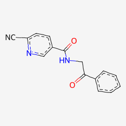 N#Cc1ccc(C(=O)NCC(=O)c2ccccc2)cn1